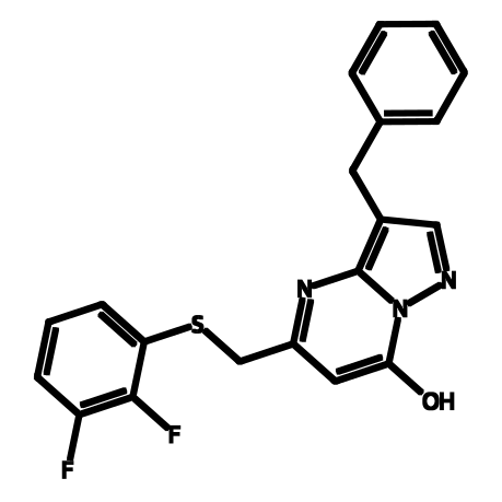 Oc1cc(CSc2cccc(F)c2F)nc2c(Cc3ccccc3)cnn12